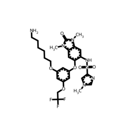 Cn1cnc(S(=O)(=O)Nc2cc3c(cc2Oc2cc(OCCCCCCN)cc(OCC(F)(F)F)c2)n(C)c(=O)n3C)c1